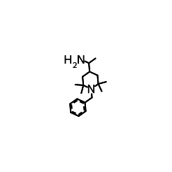 CC(N)C1CC(C)(C)N(Cc2ccccc2)C(C)(C)C1